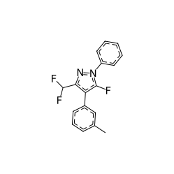 Cc1cccc(-c2c(C(F)F)nn(-c3ccccc3)c2F)c1